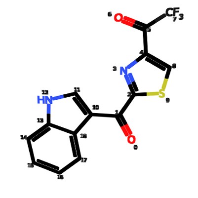 O=C(c1nc(C(=O)C(F)(F)F)cs1)c1c[nH]c2ccccc12